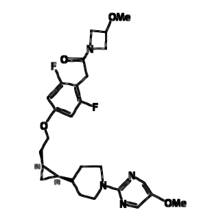 COc1cnc(N2CCC([C@H]3C[C@H]3CCOc3cc(F)c(CC(=O)N4CC(OC)C4)c(F)c3)CC2)nc1